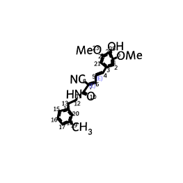 COc1cc(/C=C/C=C(\C#N)C(=O)NCCc2cccc(C)c2)cc(OC)c1O